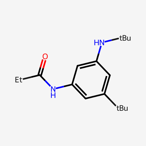 CCC(=O)Nc1cc(NC(C)(C)C)cc(C(C)(C)C)c1